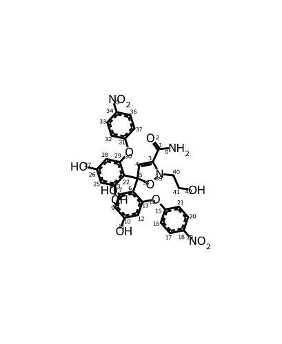 NC(=O)C1=CC(c2c(O)cc(O)cc2Oc2ccc([N+](=O)[O-])cc2)(c2c(O)cc(O)cc2Oc2ccc([N+](=O)[O-])cc2)ON1CCO